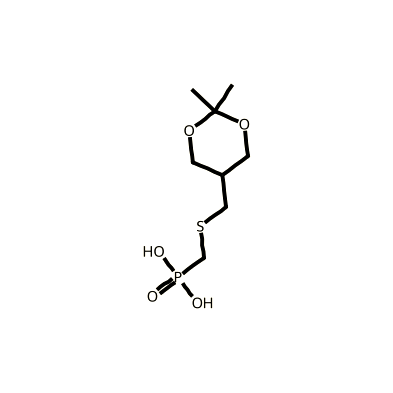 CC1(C)OCC(CSCP(=O)(O)O)CO1